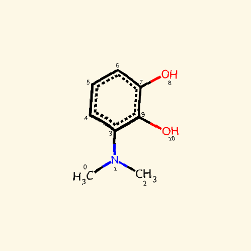 CN(C)c1cccc(O)c1O